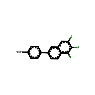 O=Cc1ccc(-c2ccc3c(F)c(F)c(F)cc3c2)cc1